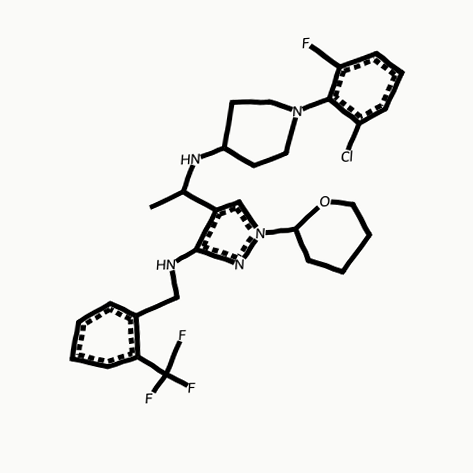 CC(NC1CCN(c2c(F)cccc2Cl)CC1)c1cn(C2CCCCO2)nc1NCc1ccccc1C(F)(F)F